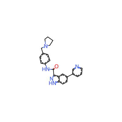 O=C(Nc1ccc(CN2CCCC2)cc1)c1n[nH]c2ccc(-c3cccnc3)cc12